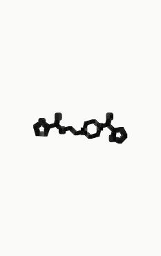 O=C(OCCN1CCN(C(=O)c2ccco2)CC1)c1ccco1